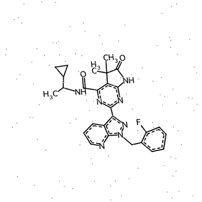 CC(NC(=O)c1nc(-c2nn(Cc3ccccc3F)c3ncccc23)nc2c1C(C)(C)C(=O)N2)C1CC1